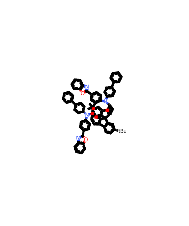 CC(C)(C)c1ccc2c(c1)C13c4cc(N(c5ccc(-c6ccccc6)cc5)c5ccc(-c6nc7ccccc7o6)cc5)ccc4-c4ccc(cc41)N(c1ccc(-c4ccccc4)cc1)c1ccc(-c4nc5ccccc5o4)cc1C(C)(C)c1ccc-2c3c1